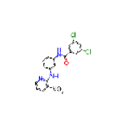 O=C(Nc1cccc(Nc2ncccc2[N+](=O)[O-])c1)c1cc(Cl)cc(Cl)c1